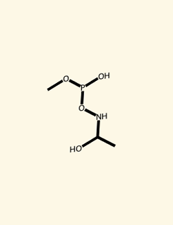 COP(O)ONC(C)O